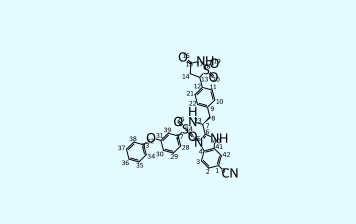 N#Cc1ccc2nc([C@H](Cc3ccc(C4CC(=O)NS4(=O)=O)cc3)NS(=O)(=O)c3cccc(Oc4ccccc4)c3)[nH]c2c1